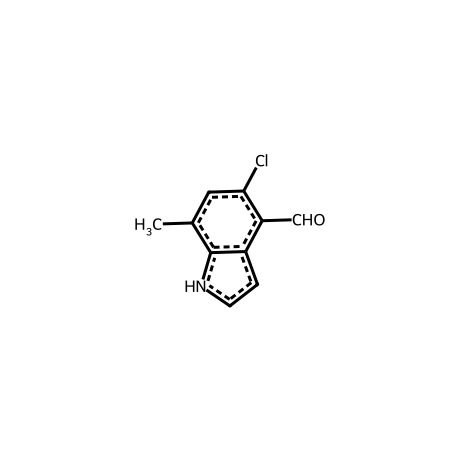 Cc1cc(Cl)c(C=O)c2cc[nH]c12